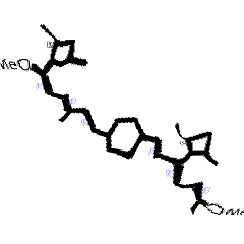 CO/C(C)=C/C=C(/C=C/C1CCC(/C=C/C(C)=C/C=C(/OC)C2C(C)C[C@@H]2C)CC1)C1C(C)C[C@@H]1C